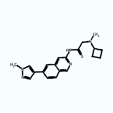 CN(CC(=S)Nc1cc2cc(-c3cnn(C)c3)ccc2cn1)C1CCC1